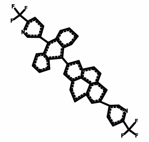 FC(F)(F)c1ccc(-c2cc3ccc4cc(-c5c6ccccc6c(-c6ccc(C(F)(F)F)nc6)c6ccccc56)cc5ccc(c2)c3c45)cn1